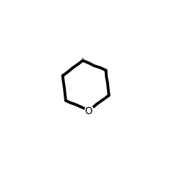 [CH]1CCOCC1